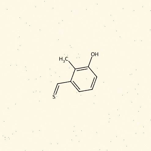 Cc1c(O)cccc1C=S